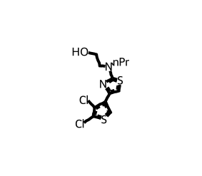 CCCN(CCO)c1nc(-c2csc(Cl)c2Cl)cs1